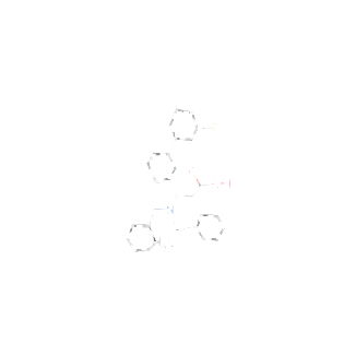 CC(c1ccccc1)N(Cc1ccccc1)C(CC(=O)O)c1cccc(-c2cccc(F)c2)c1